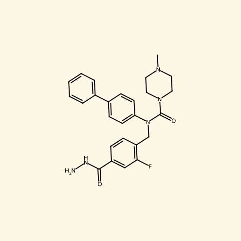 CN1CCN(C(=O)N(Cc2ccc(C(=O)NN)cc2F)c2ccc(-c3ccccc3)cc2)CC1